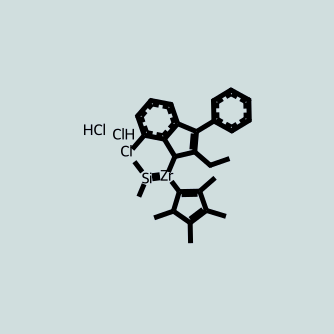 CCC1=C(c2ccccc2)c2cccc(Cl)c2[CH]1[Zr]([C]1=C(C)C(C)=C(C)C1C)=[Si](C)C.Cl.Cl